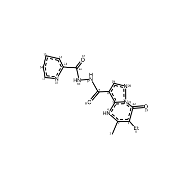 CCc1c(C)[nH]c2c(C(=O)NNC(=O)c3ccccn3)cnn2c1=O